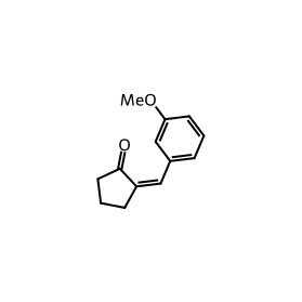 COc1cccc(C=C2CCCC2=O)c1